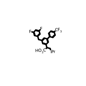 CC(C)CC(C(=O)O)c1cc(Cc2cc(F)cc(F)c2)cc(-c2ccc(C(F)(F)F)cc2)c1